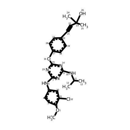 COc1ccc(Nc2nc(NC(C)C)nc(Oc3ccc(C#CC(C)(C)O)cc3)n2)cc1Cl